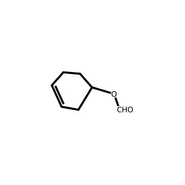 O=COC1CC=CCC1